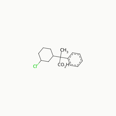 CC(C(=O)O)(c1ccccc1)C1CCCC(Cl)C1